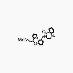 CNCCC(Oc1cccc(CN2CCN(C)c3ccccc3C2=O)c1)c1cccs1